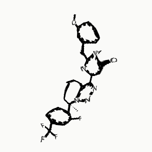 COc1cccc(Cc2nc(-c3nnn4c3CCC[C@]4(C)c3ccc(C(F)(F)F)cc3F)cc(=O)[nH]2)c1